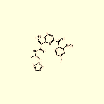 CNc1cc(F)ccc1C(=N)c1cnc2[nH]cc(C(=O)N[C@H](C)Cn3cccn3)c2n1